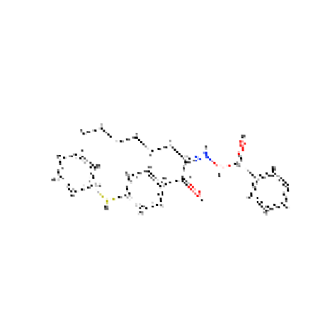 CCCCCC/C(=N/OC(=O)c1ccccc1)C(=O)c1ccc(Sc2ccccc2)cc1